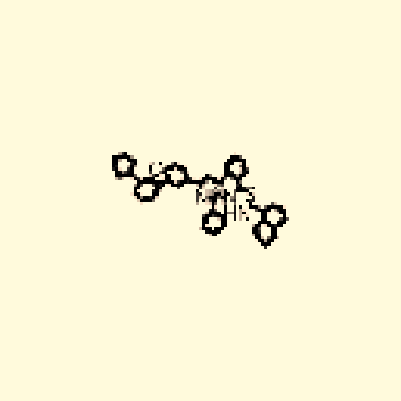 N=C(SC(=N)c1cccc2ccccc12)c1ccccc1-c1cc(-c2ccc3oc4c(-c5ccccc5)cccc4c3c2)nc(-c2ccccc2)n1